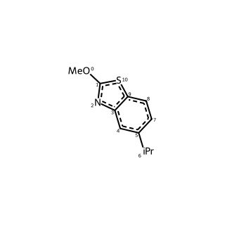 COc1nc2cc(C(C)C)ccc2s1